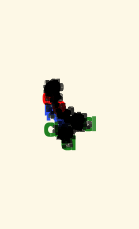 Cc1c(-c2nnc(-c3cc4ccccc4o3)o2)nn(-c2ccc(Cl)cc2Cl)c1-c1ccc(Cl)cc1